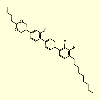 C=CCCC1OCC(c2ccc(-c3ccc(-c4ccc(CCCCCCCCC)c(F)c4F)cc3)c(F)c2)CO1